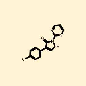 O=c1c(-c2ccc(Cl)cc2)c[nH]n1-c1ncccn1